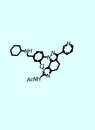 CC(=O)Nc1nc2c(s1)-c1c(c(-c3cccnc3)nn1-c1ccc(CNC3CCCCC3)cc1Cl)CC2